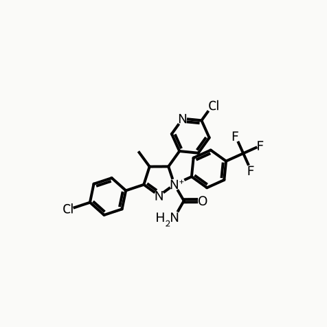 CC1C(c2ccc(Cl)cc2)=N[N+](C(N)=O)(c2ccc(C(F)(F)F)cc2)C1c1ccc(Cl)nc1